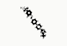 CS(=O)(=O)c1ccc(OC[C@H]2CC[C@H](N3CCN(c4noc(C(F)(F)F)n4)CC3)CC2)c(F)c1